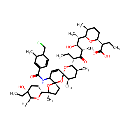 CCC(C(=O)[C@@H](C)[C@@H](O)[C@H](C)[C@@H]1O[C@@H](C(CC)C(=O)O)CC[C@@H]1C)[C@H]1O[C@]2(C=CC(NC(=O)C3=CC(C)C(CCl)C=C3)[C@]3(CC[C@@](C)([C@H]4CC[C@](O)(CC)[C@H](C)O4)O3)O2)[C@H](C)C[C@@H]1C